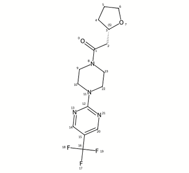 O=C(C[C@@H]1CCCO1)N1CCN(c2ncc(C(F)(F)F)cn2)CC1